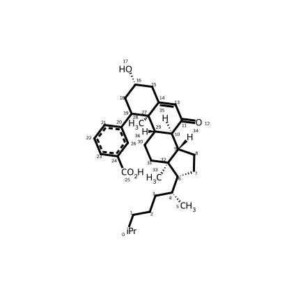 CC(C)CCC[C@@H](C)[C@H]1CC[C@H]2[C@@H]3C(=O)C=C4C[C@@H](O)CC(c5cccc(C(=O)O)c5)[C@]4(C)[C@H]3CC[C@]12C